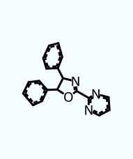 c1ccc(C2N=C(c3ncccn3)OC2c2ccccc2)cc1